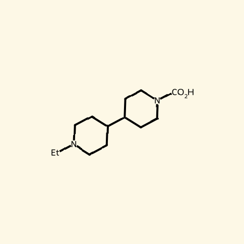 CCN1CCC(C2CCN(C(=O)O)CC2)CC1